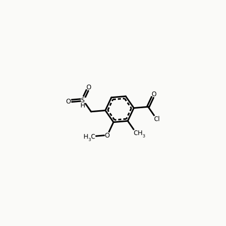 COc1c(C[SH](=O)=O)ccc(C(=O)Cl)c1C